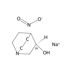 O=N[O-].O[C@H]1CN2CCC1CC2.[Na+]